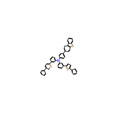 C1=Cc2sc3ccccc3c2CC=C1c1ccc(N(c2cccc(C3=CC=C(c4ccccc4)CS3)c2)c2cccc(-c3ccc(-c4ccccc4)s3)c2)cc1